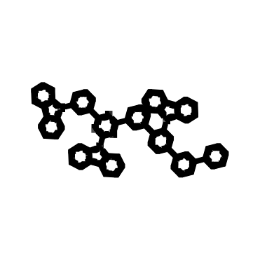 c1ccc(-c2cccc(-c3ccc(-c4cccc(-c5nc(-c6cccc(-n7c8ccccc8c8ccccc87)c6)nc(-n6c7ccccc7c7ccccc76)n5)c4)c(-n4c5ccccc5c5ccccc54)c3)c2)cc1